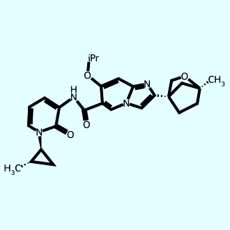 CC(C)Oc1cc2nc([C@@]34CC[C@@](C)(C3)OC4)cn2cc1C(=O)Nc1cccn([C@H]2C[C@@H]2C)c1=O